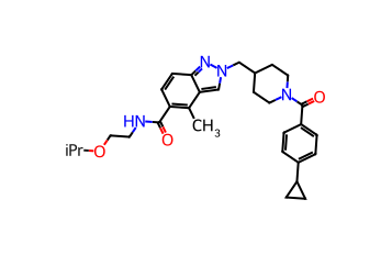 Cc1c(C(=O)NCCOC(C)C)ccc2nn(CC3CCN(C(=O)c4ccc(C5CC5)cc4)CC3)cc12